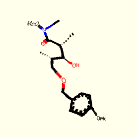 COc1ccc(COC[C@H](C)[C@H](O)[C@@H](C)C(=O)N(C)OC)cc1